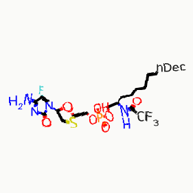 CCCCCCCCCCCCCCCC[C@H](COP(=O)(O)OCC1O[C@H](n2cc(F)c(N)nc2=O)CS1)NC(=O)C(F)(F)F